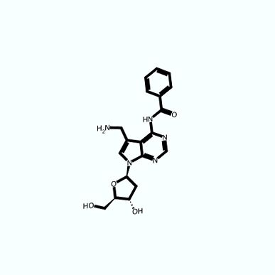 NCc1cn([C@H]2C[C@H](O)[C@@H](CO)O2)c2ncnc(NC(=O)c3ccccc3)c12